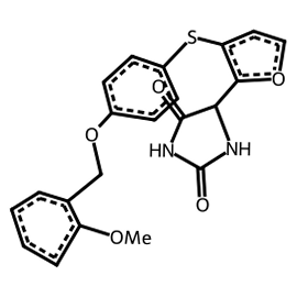 COc1ccccc1COc1ccc(Sc2ccoc2C2NC(=O)NC2=O)cc1